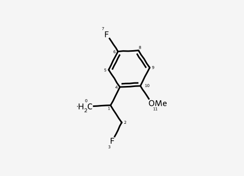 [CH2]C(CF)c1cc(F)ccc1OC